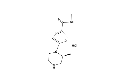 CNC(=O)c1ccc(N2CCNC[C@@H]2C)cn1.Cl